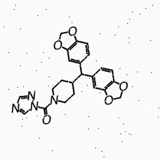 O=C(N1CCC(C(c2ccc3c(c2)OCO3)c2ccc3c(c2)OCO3)CC1)n1cncn1